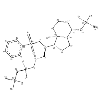 CC(C)(CCC[C@@H](CS(=O)(=O)c1ccccc1)[C@H]1CCC2[C@@H](O[Si](C)(C)C(C)(C)C)CCC[C@@]21C)O[Si](C)(C)C